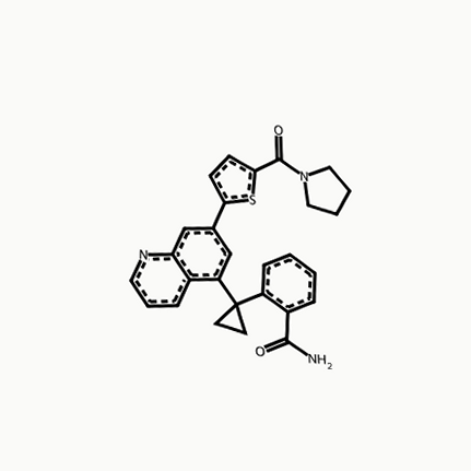 NC(=O)c1ccccc1C1(c2cc(-c3ccc(C(=O)N4CCCC4)s3)cc3ncccc23)CC1